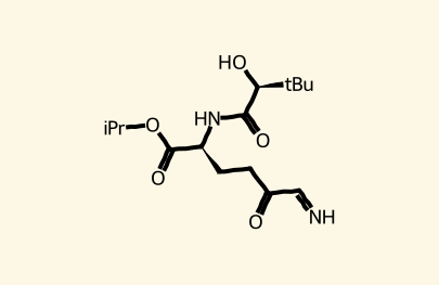 CC(C)OC(=O)[C@H](CCC(=O)C=N)NC(=O)[C@@H](O)C(C)(C)C